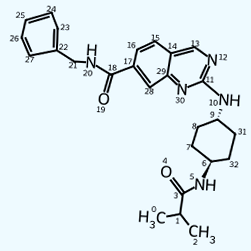 CC(C)C(=O)N[C@H]1CC[C@H](Nc2ncc3ccc(C(=O)NCc4ccccc4)cc3n2)CC1